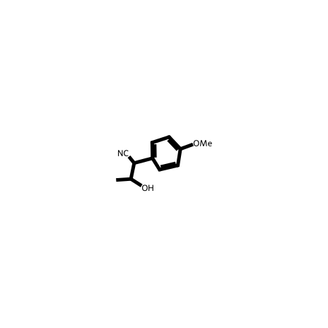 COc1ccc(C(C#N)C(C)O)cc1